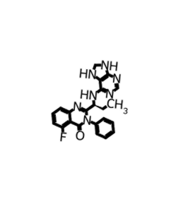 CC[C@H](Nc1ncnc2c1NCN2)c1nc2cccc(F)c2c(=O)n1-c1ccccc1